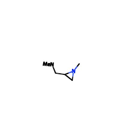 CNCC1CN1C